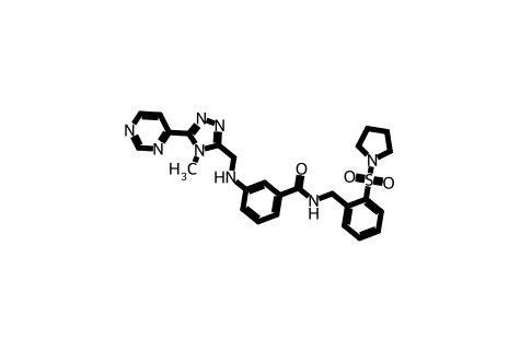 Cn1c(CNc2cccc(C(=O)NCc3ccccc3S(=O)(=O)N3CCCC3)c2)nnc1-c1ccncn1